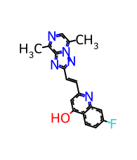 Cc1ncc(C)n2nc(/C=C/c3cc(O)c4ccc(F)cc4n3)nc12